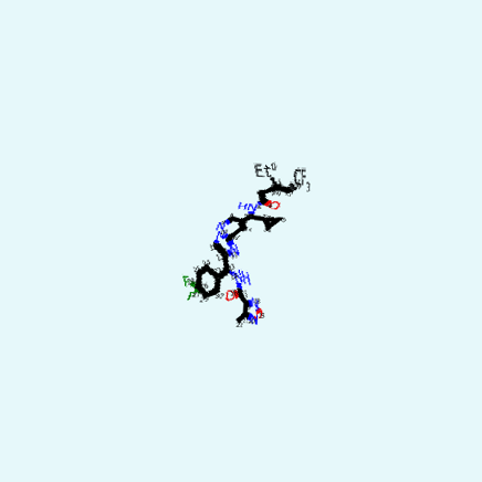 CC[C@H](CC(=O)NC(c1cnn2cc([C@@H](NC(=O)c3nonc3C)C3CCC(F)(F)CC3)nc2c1)C1CC1)CC(F)(F)F